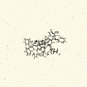 CC(C)c1cc(N(c2ccccc2)c2ccccc2)cc2c1-c1ccc3c(c1C2(C)C)C(C)(C)c1cc(N(c2ccccc2)c2ccccc2)cc(C(C)C)c1-3